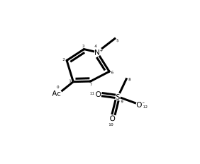 CC(=O)c1cc[n+](C)cc1.CS(=O)(=O)[O-]